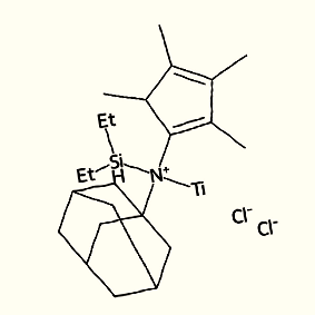 CC[SiH](CC)[N+]([Ti])(C1=C(C)C(C)=C(C)C1C)C12CC3CC(CC(C3)C1)C2.[Cl-].[Cl-]